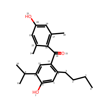 CCCCc1cc(O)c(C(C)C)cc1C(=O)c1c(C)cc(O)cc1C